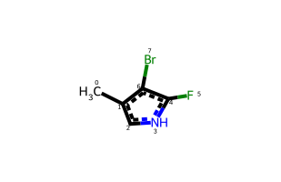 Cc1c[nH]c(F)c1Br